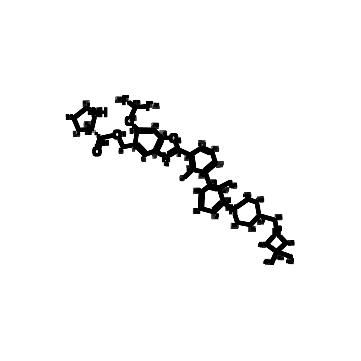 Cc1c(-c2nc3cc(COC(=O)[C@@H]4CCCN4)c(OC(F)F)cc3o2)cccc1-c1cccc(N2CCC(CN3CC(C)(C)C3)CC2)c1C